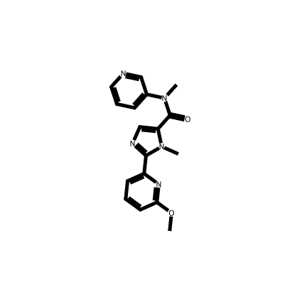 COc1cccc(-c2ncc(C(=O)N(C)c3cccnc3)n2C)n1